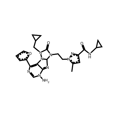 Cc1cc(C(=O)NC2CC2)nn1CCN1C(=O)N(CC2CC2)N2C3=C(c4ccco4)N=CN(N)C3=NC12